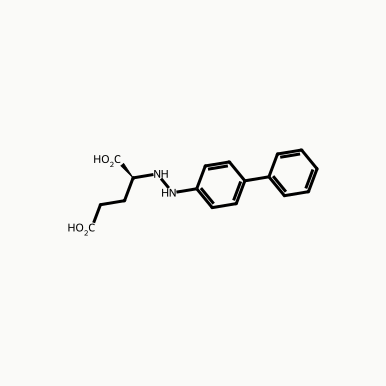 O=C(O)CC[C@H](NNc1ccc(-c2ccccc2)cc1)C(=O)O